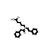 O=C(O)CCCCN(C=Cc1ccccc1)C(=O)Cc1ccccc1